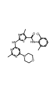 Cc1nc(Nc2nc(C)c(C(=O)Nc3c(C)cccc3Cl)s2)cc(N2CCOCC2)n1